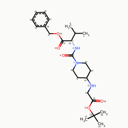 CC(C)[C@H](NC(=O)N1CCC(NCC(=O)OC(C)(C)C)CC1)C(=O)OCc1ccccc1